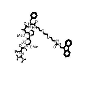 CC[C@H](C)[C@@H]([C@@H](CC(=O)N1CCC[C@H]1[C@H](OC)[C@@H](C)C(=O)N[C@@H](Cc1ccccc1)C(=O)NCCOCCOCCNC(=O)OCC1c2ccccc2-c2ccccc21)OC)N(C)C(=O)[C@@H](N=C(N(C)C)N(C)C)C(C)C